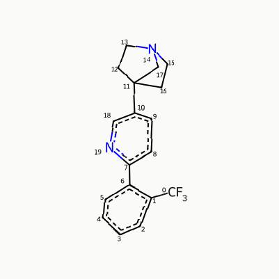 FC(F)(F)c1ccccc1-c1ccc(C23CCN(CC2)C3)cn1